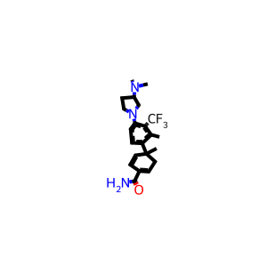 Cc1c(C2(C)C=CC(C(N)=O)=CC2)ccc(N2CCC(N(C)C)C2)c1C(F)(F)F